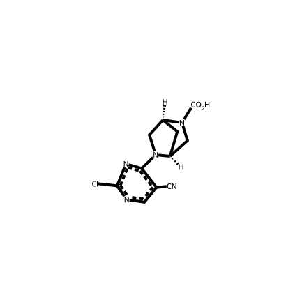 N#Cc1cnc(Cl)nc1N1C[C@@H]2C[C@H]1CN2C(=O)O